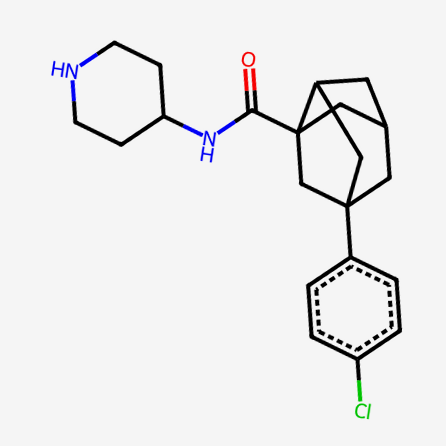 O=C(NC1CCNCC1)C12CC3CC1CC(c1ccc(Cl)cc1)(C3)C2